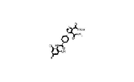 CNC(=O)c1ncn([C@H]2CC[C@H](C(=O)Nc3c(Cl)cc(F)cc3C#N)CC2)c1C(N)=O